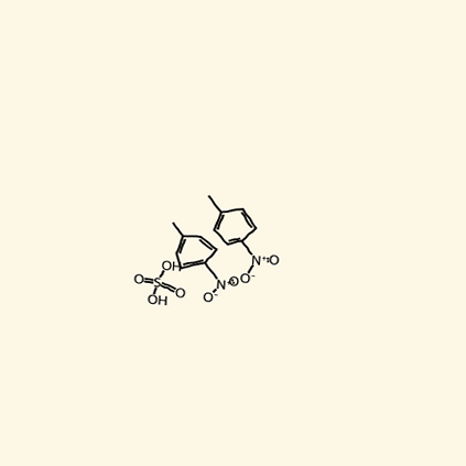 Cc1ccc([N+](=O)[O-])cc1.Cc1ccc([N+](=O)[O-])cc1.O=S(=O)(O)O